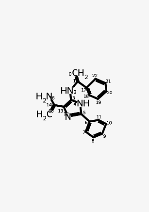 C=C(Nc1[nH]c(-c2ccccc2)nc1C(=C)N)c1ccccc1